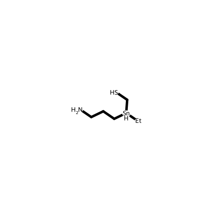 C[CH2][SnH]([CH2]S)[CH2]CCN